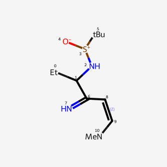 CCC(N[S+]([O-])C(C)(C)C)C(=N)/C=C\NC